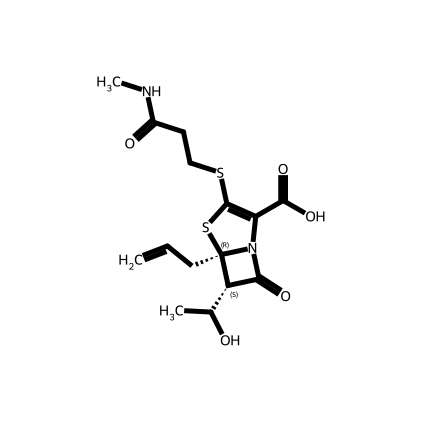 C=CC[C@]12SC(SCCC(=O)NC)=C(C(=O)O)N1C(=O)[C@@H]2C(C)O